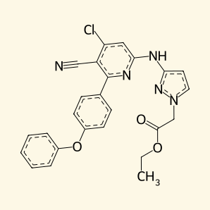 CCOC(=O)Cn1ccc(Nc2cc(Cl)c(C#N)c(-c3ccc(Oc4ccccc4)cc3)n2)n1